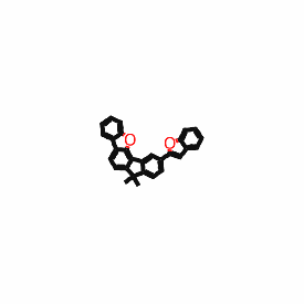 CC1(C)c2ccc(-c3cc4ccccc4o3)cc2-c2c1ccc1c2oc2ccccc21